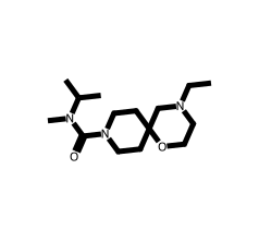 CCN1CCOC2(CCN(C(=O)N(C)C(C)C)CC2)C1